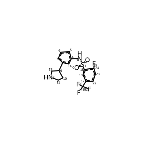 O=S(=O)(Nc1cccc(C2CCNC2)c1)c1cc(C(F)(F)F)ccc1F